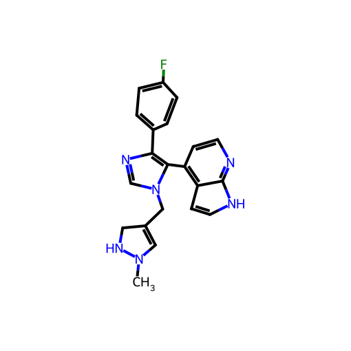 CN1C=C(Cn2cnc(-c3ccc(F)cc3)c2-c2ccnc3[nH]ccc23)CN1